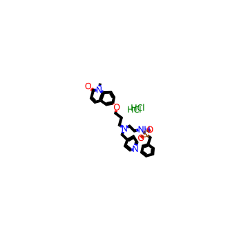 Cl.Cl.Cn1c(=O)ccc2cc(OCCCN(CCNS(=O)(=O)Cc3ccccc3)Cc3ccncc3)ccc21